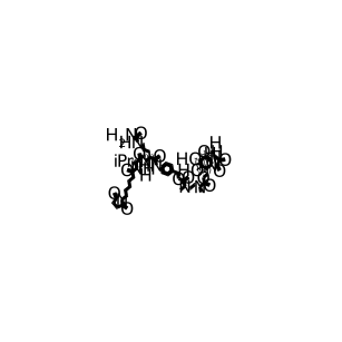 CC(C)[C@H](NC(=O)CCCCCN1C(=O)CCC1=O)C(=O)N[C@@H](CCCNC(N)=O)C(=O)Nc1ccc(COC(=O)N(C)CCN(C)C(=O)OC[C@@H]2[C@@H](O)[C@H](O)[C@H](O)[C@H]3NC(=O)C(=O)N23)cc1